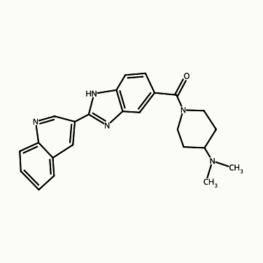 CN(C)C1CCN(C(=O)c2ccc3[nH]c(-c4cnc5ccccc5c4)nc3c2)CC1